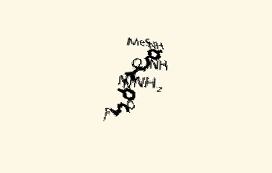 C=C(/C=C\C=C/CF)OC1C=C(C)C(n2ncc(C(=O)Cc3cc4cc(NSC)c(C)cc4[nH]3)c2N)=CC1